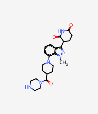 Cn1nc(C2CCC(=O)NC2=O)c2cccc(N3CCC(C(=O)N4CCNCC4)CC3)c21